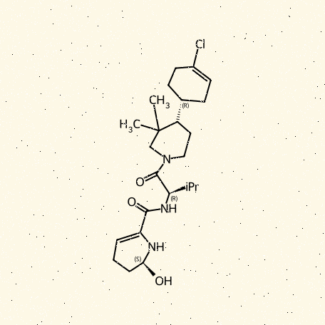 CC(C)[C@@H](NC(=O)C1=CCC[C@H](O)N1)C(=O)N1CCC([C@H]2CC=C(Cl)CC2)C(C)(C)C1